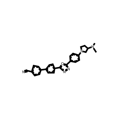 CN(C)C1CCN(c2ccc(-c3nnc(-c4ccc(-c5ccc(C#N)cc5)cc4)o3)cc2)C1